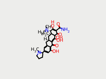 CN1CCCC1c1cc(O)c2c(c1)C[C@H]1C[C@@]3(C)[C@H](N(C)C)C(O)=C(C(N)=O)C(=O)[C@@]3(O)C(O)=C1C2=O